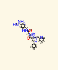 N=C(N)c1ccc(CNC(=O)CNC(=O)[C@@H](CCc2ccccc2)NNCc2ccccn2)cc1